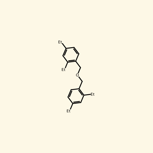 CCc1ccc(COCc2ccc(CC)cc2CC)c(CC)c1